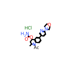 CC(=O)N1c2ccc(-c3ccc(N4CCOCC4)nc3)cc2C(OC(N)=O)CC1C.Cl